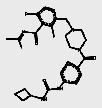 CC(C)=NC(=O)c1c(F)ccc(CN2CCN(C(=O)c3ccc(NC(=O)NC4CCC4)cc3)CC2)c1F